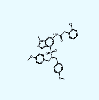 COc1ccc(CN(Cc2ccc(OC)cc2)S(=O)(=O)c2cc(NC(=O)Cc3ccccc3Cl)cc3c2cnn3C)cc1